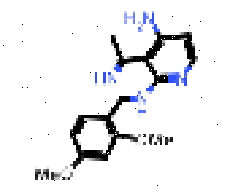 COc1ccc(CNc2nccc(N)c2C(C)=N)c(OC)c1